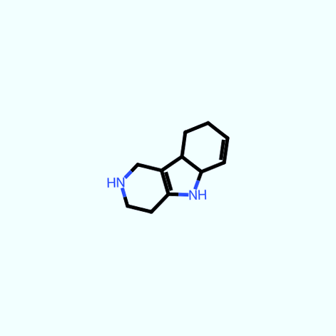 C1=CC2NC3=C(CNCC3)C2CC1